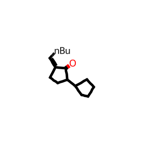 CCCCC=C1CCC(C2CCCC2)C1=O